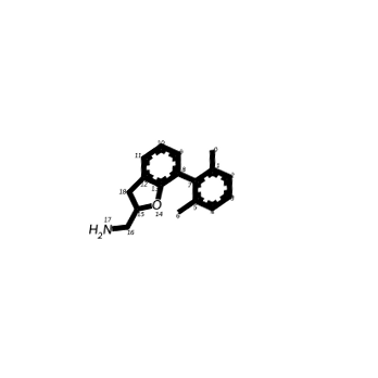 Cc1cccc(C)c1-c1cccc2c1OC(CN)C2